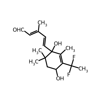 CC(C=CC1(O)C(C)=C(C(C)(F)F)C(O)CC1(C)C)=CC=O